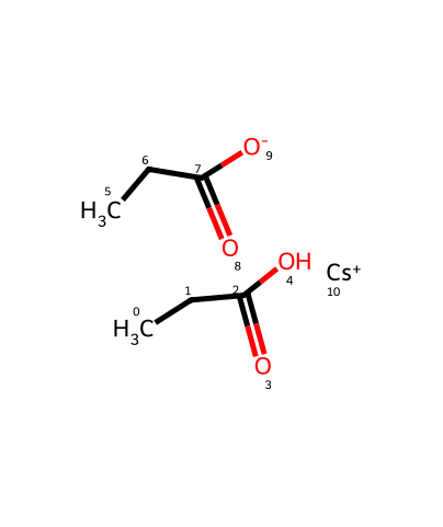 CCC(=O)O.CCC(=O)[O-].[Cs+]